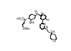 COCCN(C(=O)O)[C@@H]1CC[C@@H](Nc2cc(-c3cccc(NCC4(C#N)CCOCC4)n3)c(Cl)cn2)C[C@H]1O